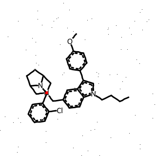 CCCCn1cc(-c2ccc(OC)cc2)c2cc(CN3CC4CCC(C3)N4Cc3ccccc3Cl)ccc21